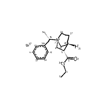 CCOC(=O)[C@@H]1C[N+]2([C@@H](C)c3ccccc3)CC[C@H]1C2.[Br-]